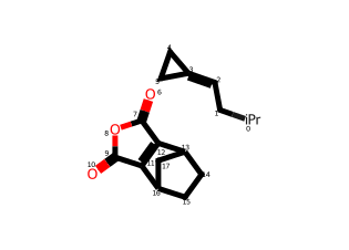 CC(C)CC=C1CC1.O=C1OC(=O)C2=C1C1CCC2C1